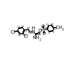 Cc1ccc(S(=O)(=O)ON=C(N)NN=Cc2ccc(Cl)cc2Cl)cc1